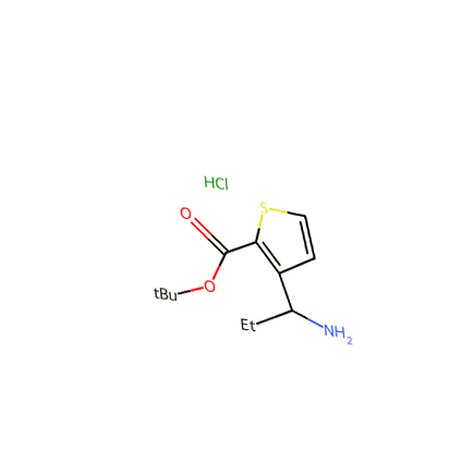 CCC(N)c1ccsc1C(=O)OC(C)(C)C.Cl